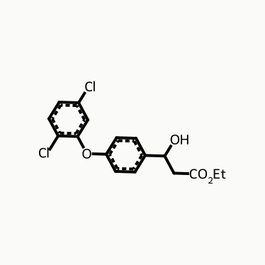 CCOC(=O)CC(O)c1ccc(Oc2cc(Cl)ccc2Cl)cc1